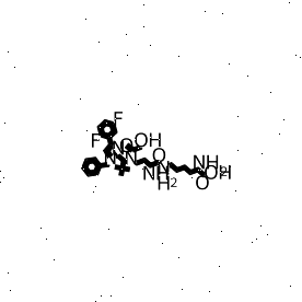 CC(C)(C)[C@H](c1nc(-c2cc(F)ccc2F)cn1Cc1ccccc1)N(CC[C@H](N)C(=O)NCCCC[C@H](N)C(=O)O)C(=O)CO